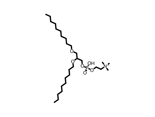 CCCCCCCCCCOCC(COP(=O)(O)OCC[N+](C)(C)C)OCCCCCCCCCC